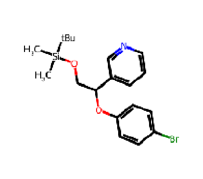 CC(C)(C)[Si](C)(C)OCC(Oc1ccc(Br)cc1)c1cccnc1